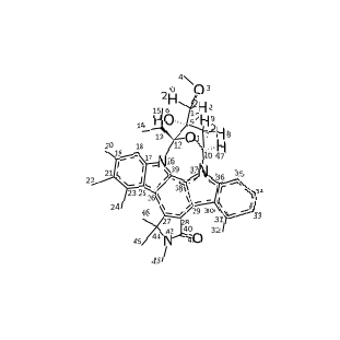 [2H]C([2H])(OC)[C@@]1(O)C([2H])([2H])[C@@H]2O[C@]1(C(C)C)n1c3cc(C)c(C)c(C)c3c3c4c(c5c6c(C)cccc6n2c5c31)C(=O)N(C)C4(C)C